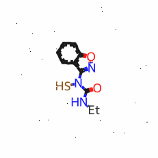 CCNC(=O)N(S)c1noc2ccccc12